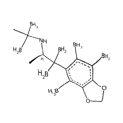 Bc1c(B)c(C(B)(B)[C@@H](C)NC(B)(B)C)c(B)c2c1OCO2